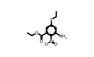 CCOC(=O)c1cc(SCC)cc(N)c1[N+](=O)[O-]